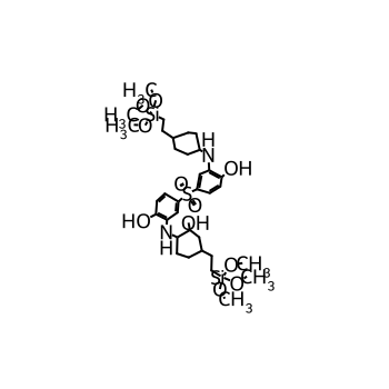 CO[Si](CCC1CCC(Nc2cc(S(=O)(=O)c3ccc(O)c(NC4CCC(CC[Si](OC)(OC)OC)CC4O)c3)ccc2O)CC1)(OC)OC